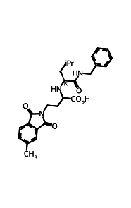 Cc1ccc2c(c1)C(=O)N(CCC(N[C@@H](CC(C)C)C(=O)NCc1ccccc1)C(=O)O)C2=O